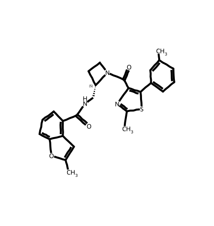 Cc1cccc(-c2sc(C)nc2C(=O)N2CC[C@H]2CNC(=O)c2cccc3oc(C)cc23)c1